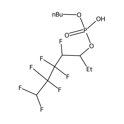 CCCCOP(=O)(O)OC(CC)C(F)C(F)(F)C(F)(F)C(F)F